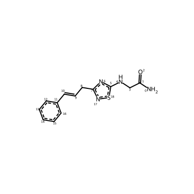 NC(=O)CNc1nc(CC=Cc2ccccc2)ns1